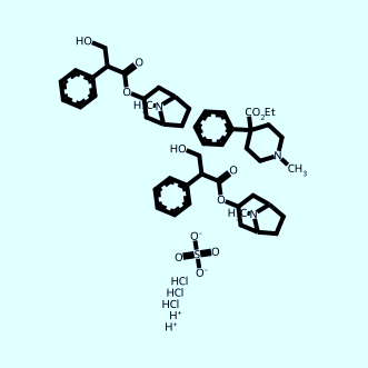 CCOC(=O)C1(c2ccccc2)CCN(C)CC1.CN1C2CCC1CC(OC(=O)C(CO)c1ccccc1)C2.CN1C2CCC1CC(OC(=O)C(CO)c1ccccc1)C2.Cl.Cl.Cl.O=S(=O)([O-])[O-].[H+].[H+]